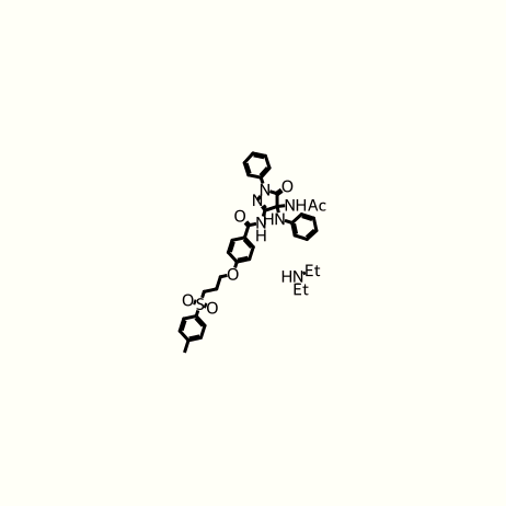 CC(=O)NC1(Nc2ccccc2)C(=O)N(c2ccccc2)N=C1NC(=O)c1ccc(OCCCS(=O)(=O)c2ccc(C)cc2)cc1.CCNCC